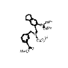 CCCN(CCC)c1cc2c(cc1CN(Cc1cccc(C(=O)OC)c1)C(=O)O)CCC2